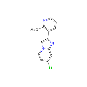 COc1ncccc1-c1cn2ccc(Cl)cc2n1